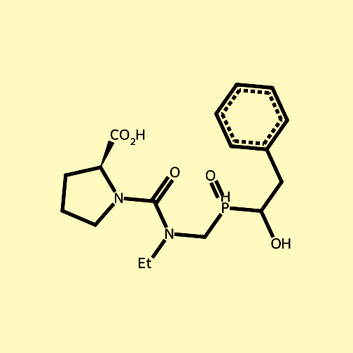 CCN(C[PH](=O)C(O)Cc1ccccc1)C(=O)N1CCC[C@H]1C(=O)O